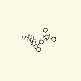 O=S(=O)(Oc1ccc2ccccc2c1-c1ccc(-c2nc(-c3ccccc3)nc(-c3ccccc3)n2)cc1)C(F)(F)C(F)(F)C(F)(F)C(F)(F)F